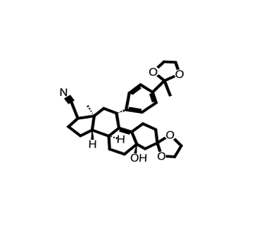 CC1(c2ccc([C@H]3C[C@]4(C)C(C#N)CC[C@H]4[C@@H]4CC[C@@]5(O)CC6(CCC5=C43)OCCO6)cc2)OCCO1